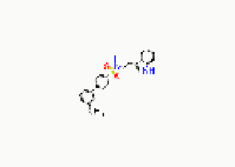 Cc1cccc(-c2ccc(S(=O)(=O)NCCc3c[nH]c4ccccc34)cc2)c1